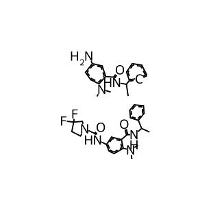 CC(NC(=O)c1cc(N)ccc1N(C)C)c1ccccc1.CC(NC(=O)c1cc(NC(=O)N2CCC(F)(F)C2)ccc1N(C)C)c1ccccc1